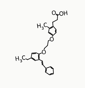 CCc1ccc(OCCCOc2ccc(CCC(=O)O)c(C)c2)c(C=Cc2ccccc2)c1